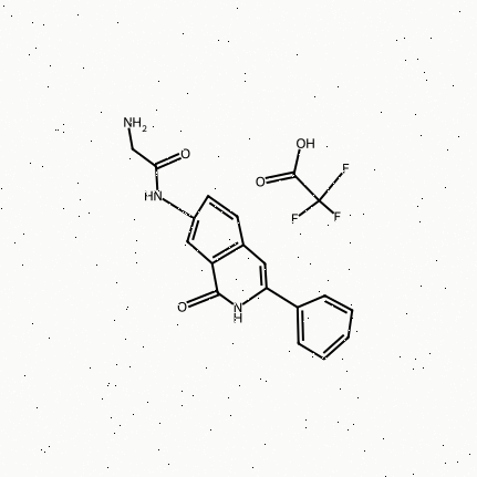 NCC(=O)Nc1ccc2cc(-c3ccccc3)[nH]c(=O)c2c1.O=C(O)C(F)(F)F